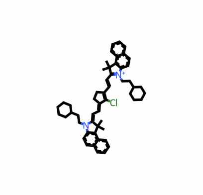 CC1(C)C(/C=C/C2=C(Cl)C(=C/C=C3/N(CCC4CCCCC4)c4ccc5ccccc5c4C3(C)C)/CC2)=[N+](CCC2CCCCC2)c2ccc3ccccc3c21